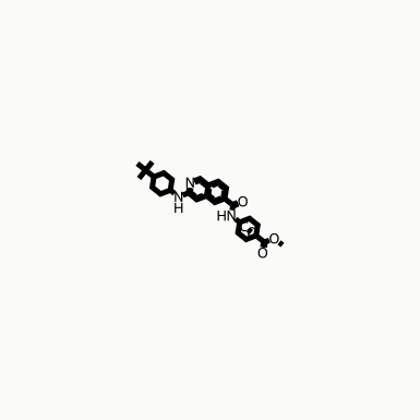 COC(=O)C12CCC(NC(=O)c3ccc4cnc(NC5CCC(C(C)(C)C)CC5)cc4c3)(CC1)CC2